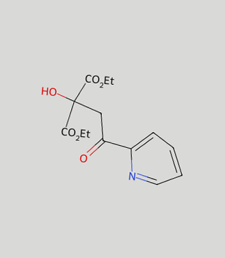 CCOC(=O)C(O)(CC(=O)c1ccccn1)C(=O)OCC